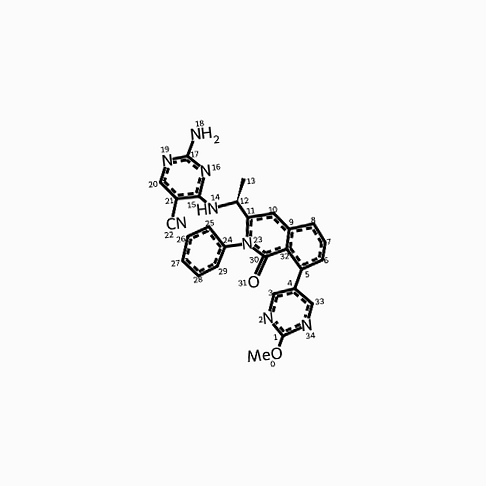 COc1ncc(-c2cccc3cc([C@H](C)Nc4nc(N)ncc4C#N)n(-c4ccccc4)c(=O)c23)cn1